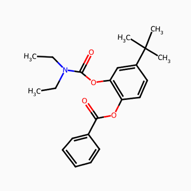 CCN(CC)C(=O)Oc1cc(C(C)(C)C)ccc1OC(=O)c1ccccc1